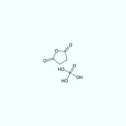 O=C1CCC(=O)O1.O=P(O)(O)O